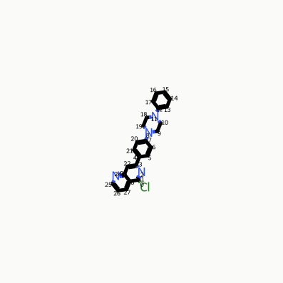 Clc1nc(-c2ccc(N3CCN(c4ccccc4)CC3)cc2)cc2ncccc12